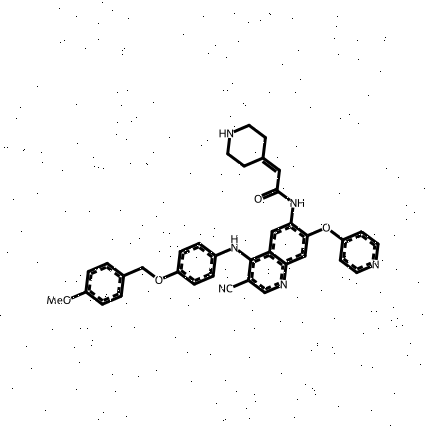 COc1ccc(COc2ccc(Nc3c(C#N)cnc4cc(Oc5ccncc5)c(NC(=O)C=C5CCNCC5)cc34)cc2)cc1